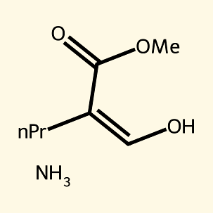 CCCC(=CO)C(=O)OC.N